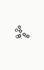 CC1(C)CCC(C)(C)c2cc(N(c3ccc(-c4ccccc4)c(C4C=CC=CC4)c3)c3ccc4c(c3)C(C)(C)c3ccccc3-4)ccc21